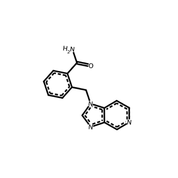 NC(=O)c1ccccc1Cn1cnc2cnccc21